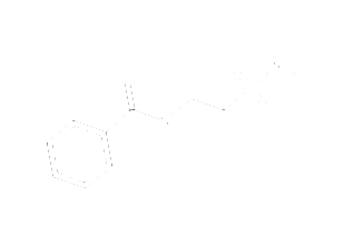 NS(=O)(=O)CCNC(=O)c1ccccc1